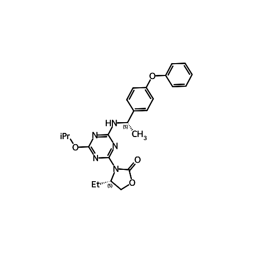 CC[C@H]1COC(=O)N1c1nc(N[C@@H](C)c2ccc(Oc3ccccc3)cc2)nc(OC(C)C)n1